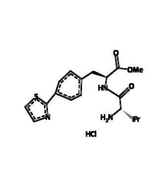 COC(=O)[C@H](Cc1ccc(-c2nccs2)cc1)NC(=O)[C@@H](N)C(C)C.Cl